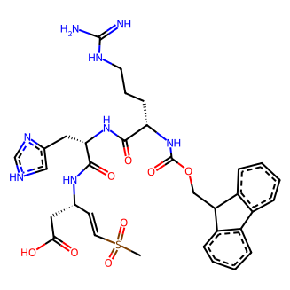 CS(=O)(=O)/C=C/[C@H](CC(=O)O)NC(=O)[C@H](Cc1c[nH]cn1)NC(=O)[C@H](CCCNC(=N)N)NC(=O)OCC1c2ccccc2-c2ccccc21